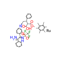 COC(=O)C(C(=O)O)C(CC#N)c1ccccc1.Cc1c(C)c(C)c(C)c(C)c1C.N[C@@H](c1ccccc1)[C@@H](NS(=O)(=O)C(F)(F)F)c1ccccc1.[Ru]